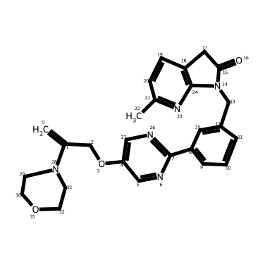 C=C(COc1cnc(-c2cccc(CN3C(=O)Cc4ccc(C)nc43)c2)nc1)N1CCOCC1